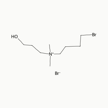 C[N+](C)(CCCO)CCCCBr.[Br-]